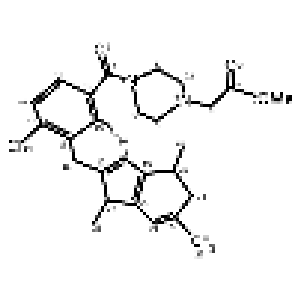 COC(=O)CN1CCN(C(=O)c2ccc(Cl)c(CC3=CC4=C(C=C(C(F)(F)F)CC4C)C3C)c2Cl)CC1